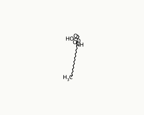 CCCCCCCCCCCCCCCCCNC(=O)OC1CCOC1CO